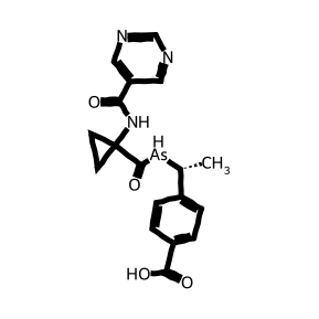 C[C@@H]([AsH]C(=O)C1(NC(=O)c2cncnc2)CC1)c1ccc(C(=O)O)cc1